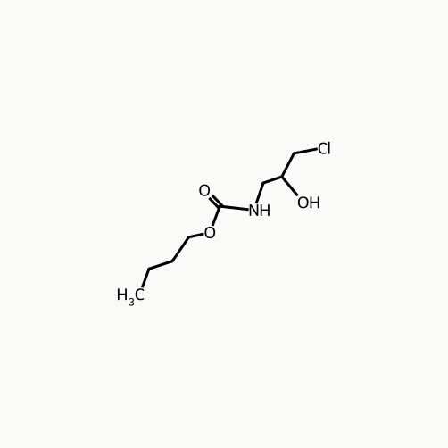 CCCCOC(=O)NCC(O)CCl